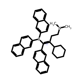 CN(C)CC/C(=C(\B(c1ccc2ccccc2c1)c1ccc2ccccc2c1)c1ccc2ccccc2c1)C1CCCCC1